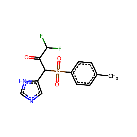 Cc1ccc(S(=O)(=O)C(C(=O)C(F)F)c2cnc[nH]2)cc1